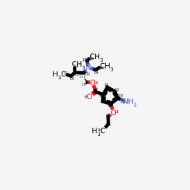 CCCOc1cc(C(=O)OC[C@H](C(C)CC)N(CC)CC)ccc1N